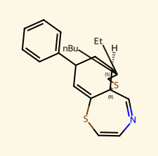 CCCCC1(CC)CS[C@]23C=NC=CSC2=CC(c2ccccc2)C[C@@H]13